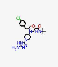 CC(C)(C)NC(=O)C1CN(C2CCN(c3nnc(N)[nH]3)CC2)C(Cc2ccc(Cl)cc2)CO1